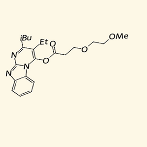 CCc1c(C(C)CC)nc2nc3ccccc3n2c1OC(=O)CCOCCOC